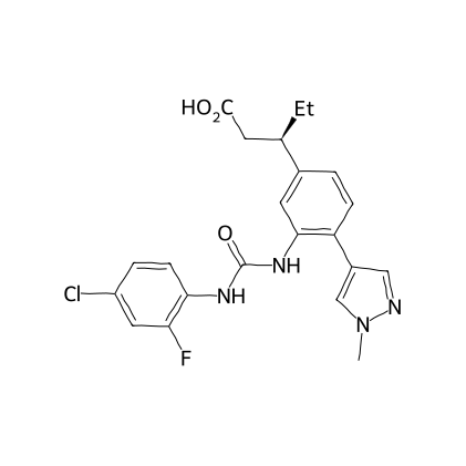 CC[C@H](CC(=O)O)c1ccc(-c2cnn(C)c2)c(NC(=O)Nc2ccc(Cl)cc2F)c1